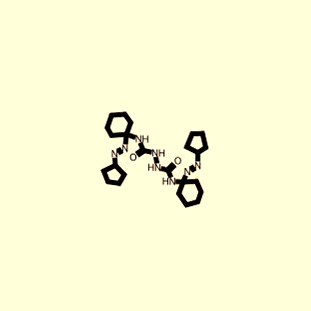 O=C(NNC(=O)NC1(N=NC2CCCC2)CCCCC1)NC1(N=NC2CCCC2)CCCCC1